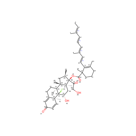 C/C=C(C)/C=C/C=C(C)/C=C/C1=C(C)CCCC1(C)C(=O)O[C@]1(C(=O)CO)[C@H](C)C[C@H]2[C@@H]3CCC4=CC(=O)C=C[C@]4(C)[C@@]3(F)[C@@H](O)C[C@@]21C